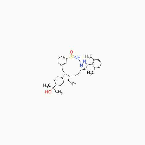 Cc1cccc(C)c1-c1cc2nc(n1)N[S+]([O-])c1cccc(c1)CC(C1CCC(C(C)(C)O)CC1)[C@H](CC(C)C)CC2